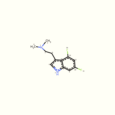 CN(C)CCc1c[nH]c2cc(F)cc(F)c12